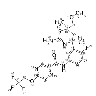 COC[C@@]1(C)C[C@@](C)(c2cc(NC(=O)c3cnc(OCC(F)(F)F)cn3)ccc2F)N=C(N)S1